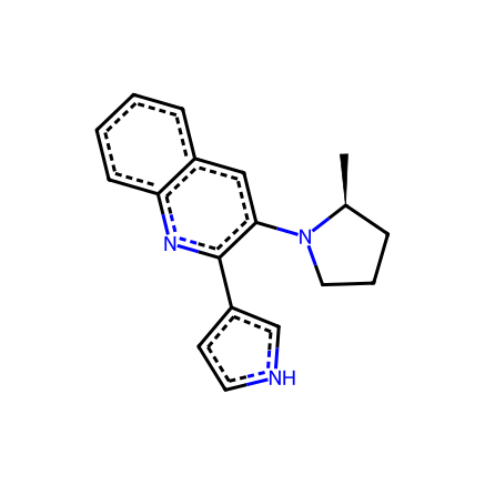 C[C@H]1CCCN1c1cc2ccccc2nc1-c1cc[nH]c1